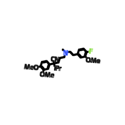 COc1cc(CCN(C)CCCC(C#N)(c2ccc(OC)c(OC)c2)C(C)C)ccc1F